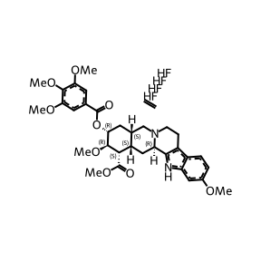 C=C.COC(=O)[C@H]1[C@H]2C[C@@H]3c4[nH]c5cc(OC)ccc5c4CCN3C[C@H]2C[C@@H](OC(=O)c2cc(OC)c(OC)c(OC)c2)[C@@H]1OC.F.F.F.F